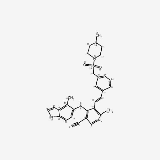 Cc1ncc(C#N)c(Nc2ccc3[nH]ccc3c2C)c1C=Cc1cccc(CS(=O)(=O)N2CCN(C)CC2)c1